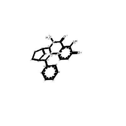 CN1C(=O)c2c(O)c(=O)ccn2N2C(c3ccccc3)C3CCC(C3)C12